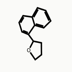 c1ccc2c([C]3CCCO3)cccc2c1